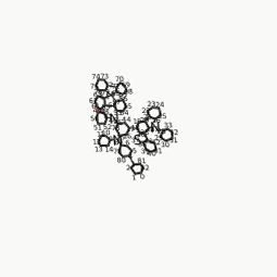 c1ccc(-c2ccc(N(c3ccccc3)c3cc(-c4cc5c6ccccc6n(-c6ccccc6)c5c5c4sc4ccccc45)cc(N(c4ccccc4)c4cccc5c4-c4ccccc4C54c5ccccc5-c5ccccc54)c3)cc2)cc1